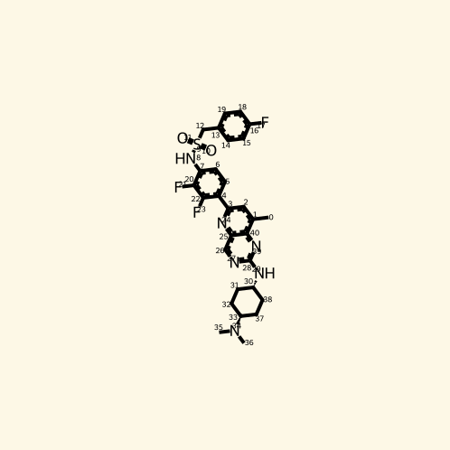 Cc1cc(-c2ccc(NS(=O)(=O)Cc3ccc(F)cc3)c(F)c2F)nc2cnc(N[C@H]3CC[C@H](N(C)C)CC3)nc12